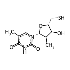 Cc1cn([C@@H]2O[C@H](CS)[C@@H](O)C2C)c(=O)[nH]c1=O